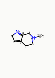 CC(C)N1CCC2=CCN=C2C1